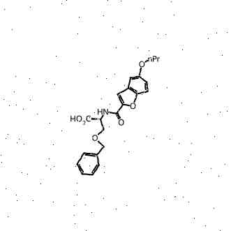 CCCOc1ccc2oc(C(=O)N[C@@H](COCc3ccccc3)C(=O)O)cc2c1